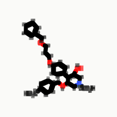 O=C(O)c1ccc(COC2CN(C(=O)O)CC(O)C2c2ccc(OCCCOCc3ccccc3)cc2)cc1